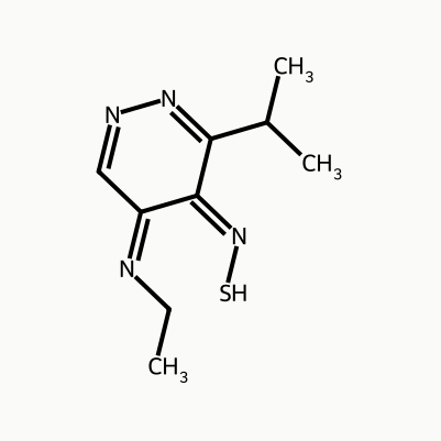 CC/N=C1/C=NN=C(C(C)C)/C1=N/S